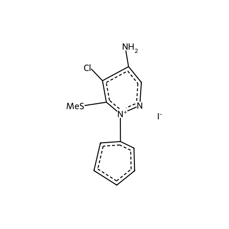 CSc1c(Cl)c(N)cn[n+]1-c1ccccc1.[I-]